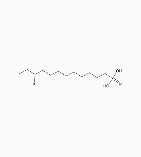 CCC(Br)CCCCCCCCCP(=O)(O)O